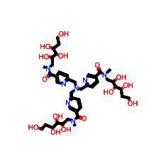 CN(CC(O)C(O)C(O)CCO)C(=O)c1ccc(CN(Cc2ccc(C(=O)N(C)CC(O)C(O)C(O)CCO)cn2)Cc2ccc(C(=O)N(C)CC(O)C(O)C(O)CCO)cn2)nc1